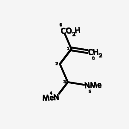 C=C(CC(NC)NC)C(=O)O